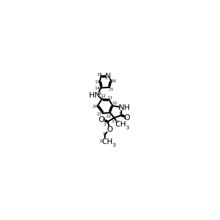 CCOC(=O)C1(C)C(=O)Nc2cc(Nc3ccncc3)ccc21